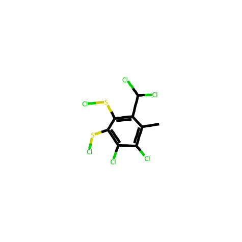 Cc1c(Cl)c(Cl)c(SCl)c(SCl)c1C(Cl)Cl